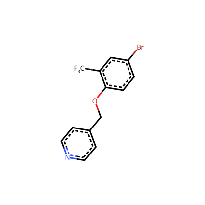 FC(F)(F)c1cc(Br)ccc1OCc1ccncc1